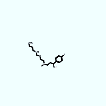 COCCCNCOCCN(C)CC[C@H](N)c1ccc(F)cc1